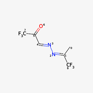 CC(=NN=CC(=O)C(F)(F)F)C(F)(F)F